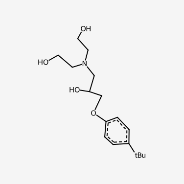 CC(C)(C)c1ccc(OCC(O)CN(CCO)CCO)cc1